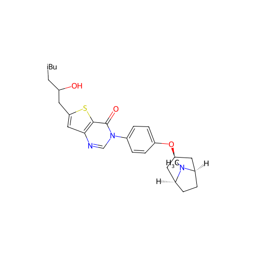 CCC(C)CC(O)Cc1cc2ncn(-c3ccc(O[C@H]4C[C@H]5CC[C@@H](C4)N5C)cc3)c(=O)c2s1